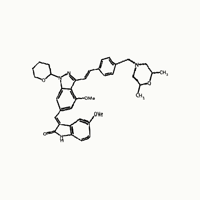 COc1ccc2c(c1)/C(=C\c1cc(OC)c3c(/C=C/c4ccc(CN5CC(C)OC(C)C5)cc4)nn(C4CCCCO4)c3c1)C(=O)N2